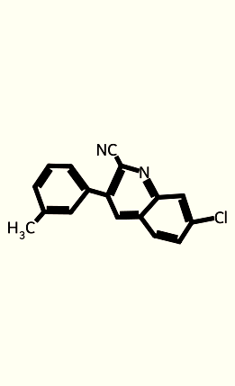 Cc1cccc(-c2cc3ccc(Cl)cc3nc2C#N)c1